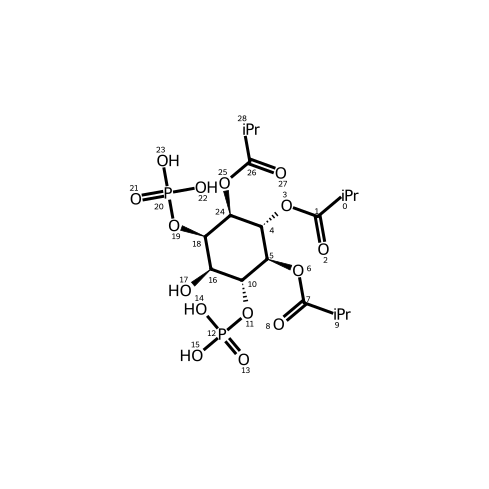 CC(C)C(=O)O[C@@H]1[C@@H](OC(=O)C(C)C)[C@H](OP(=O)(O)O)[C@@H](O)[C@@H](OP(=O)(O)O)[C@H]1OC(=O)C(C)C